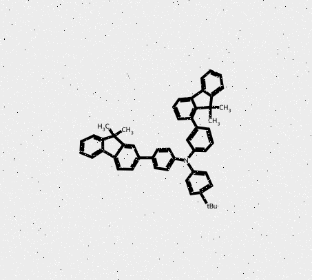 CC(C)(C)c1ccc(N(c2ccc(-c3ccc4c(c3)C(C)(C)c3ccccc3-4)cc2)c2cccc(-c3cccc4c3C(C)(C)c3ccccc3-4)c2)cc1